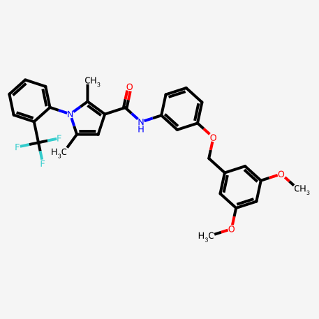 COc1cc(COc2cccc(NC(=O)c3cc(C)n(-c4ccccc4C(F)(F)F)c3C)c2)cc(OC)c1